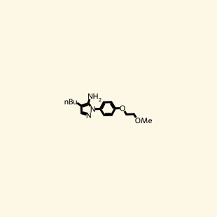 CCCCc1cnn(-c2ccc(OCCOC)cc2)c1N